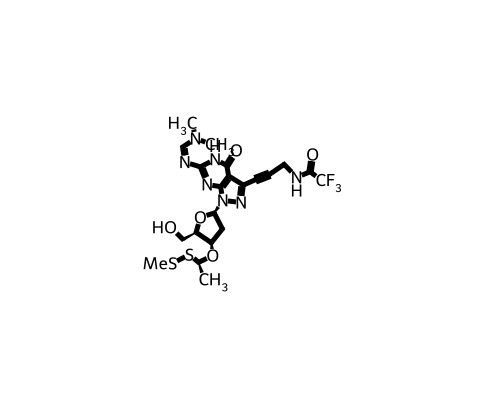 CSS[C@H](C)O[C@@H]1C[C@H](n2nc(C#CCNC(=O)C(F)(F)F)c3c(=O)[nH]c(/N=C\N(C)C)nc32)O[C@@H]1CO